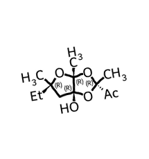 CC[C@]1(C)C[C@@]2(O)O[C@@](C)(C(C)=O)O[C@@]2(C)O1